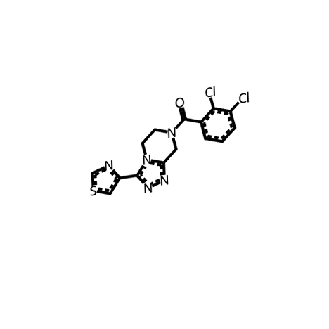 O=C(c1cccc(Cl)c1Cl)N1CCn2c(nnc2-c2cscn2)C1